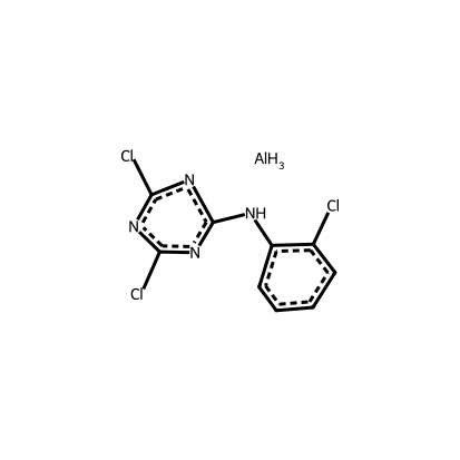 Clc1nc(Cl)nc(Nc2ccccc2Cl)n1.[AlH3]